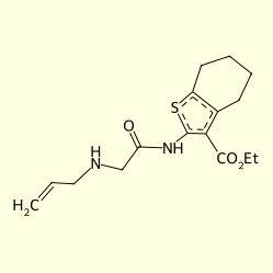 C=CCNCC(=O)Nc1sc2c(c1C(=O)OCC)CCCC2